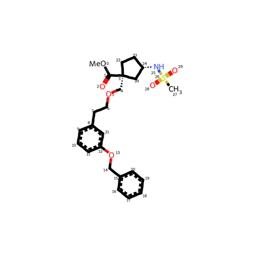 COC(=O)[C@@]1(COCCc2cccc(OCc3ccccc3)c2)CC[C@H](NS(C)(=O)=O)C1